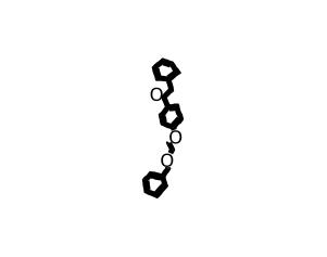 O=C(Cc1ccccc1)c1ccc(OCCOCc2ccccc2)cc1